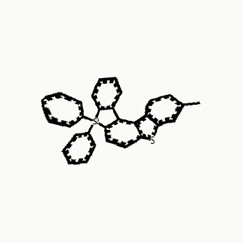 Cc1ccc2c(c1)sc1ccc3c(c12)-c1ccccc1[Si]3(c1ccccc1)c1ccccc1